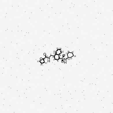 O=C(NCc1ccc(S(=O)(=O)NC2CCCCC2)c2ccccc12)c1ccco1